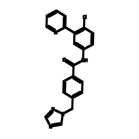 O=C(Nc1ccc(Cl)c(-c2ccccn2)c1)c1ccc(Cn2cncn2)cc1